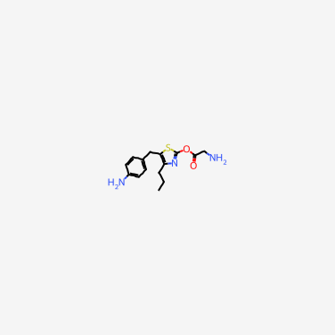 CCCc1nc(OC(=O)CN)sc1Cc1ccc(N)cc1